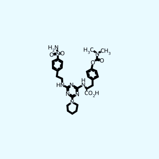 CN(C)C(=O)Oc1ccc(C[C@H](Nc2nc(NCCc3ccc(S(N)(=O)=O)cc3)nc(N3CCCCC3)n2)C(=O)O)cc1